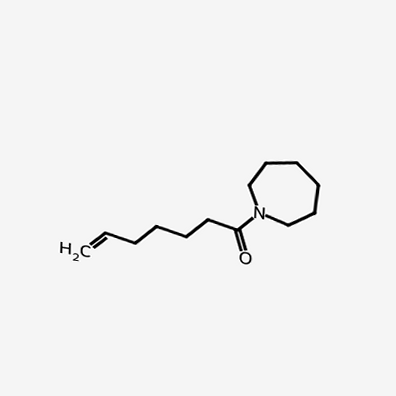 C=CCCCCC(=O)N1CCCCCC1